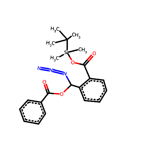 CC(C)(C)[Si](C)(C)OC(=O)c1ccccc1C(N=[N+]=[N-])OC(=O)c1ccccc1